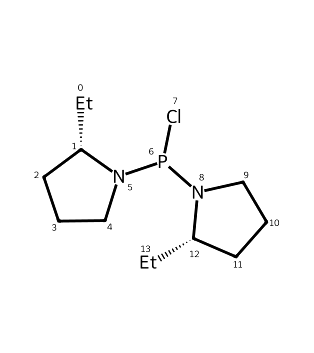 CC[C@H]1CCCN1P(Cl)N1CCC[C@@H]1CC